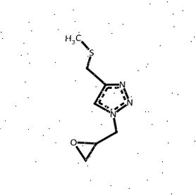 CSCc1cn(CC2CO2)nn1